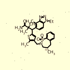 CCn1nnc2c(C)c(C(c3cc(CN4C[C@@H](C)Cc5ccccc5S4(=O)=O)c(C)s3)C(C)(C)C(N)=O)ccc21